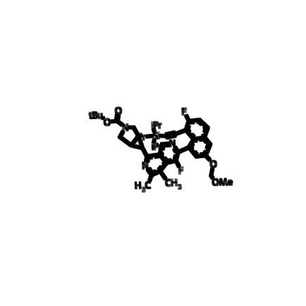 COCOc1cc(-c2ncc3c(C4C5CN(C(=O)OC(C)(C)C)CC54)nc(C)c(C)c3c2F)c2c(C#C[Si](C(C)C)(C(C)C)C(C)C)c(F)ccc2c1